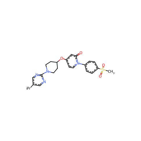 CC(C)c1cnc(N2CCC(Oc3ccn(-c4ccc(S(C)(=O)=O)cc4)c(=O)c3)CC2)nc1